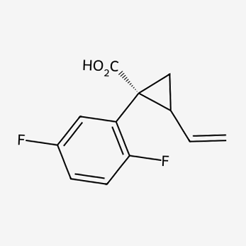 C=CC1C[C@]1(C(=O)O)c1cc(F)ccc1F